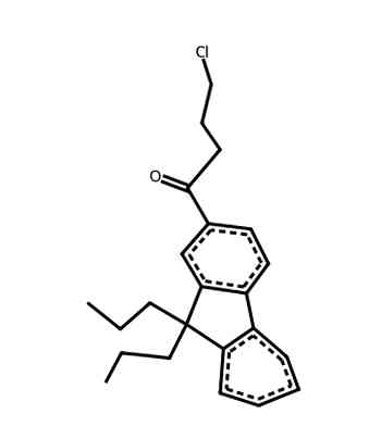 CCCC1(CCC)c2ccccc2-c2ccc(C(=O)CCCCl)cc21